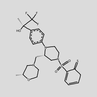 C[C@@H]1CN(C[C@H]2CN(S(=O)(=O)C3=CC=CCC3=S)CCN2c2ccc([C@@](C)(O)C(F)(F)F)cc2)CCO1